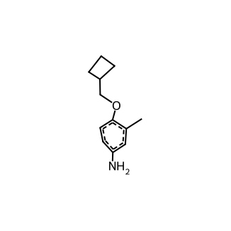 Cc1cc(N)ccc1OCC1CCC1